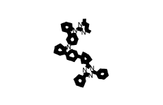 Cc1cc(C)nc(-n2c3ccccc3c3cc(N4c5ccccc5C5C=CC(c6cccc(-c7nc(-c8ccccc8)nc(-c8ccccc8)n7)c6)=CC54)ccc32)n1